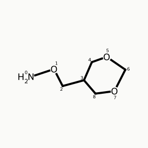 NOCC1COCOC1